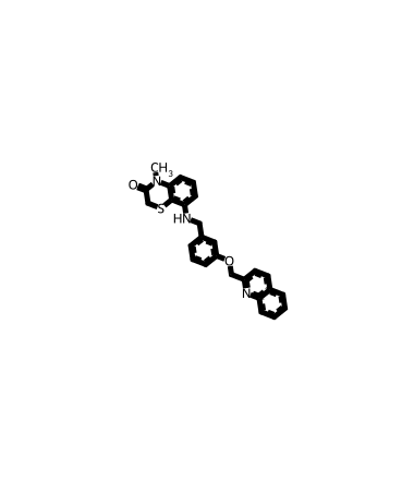 CN1C(=O)CSc2c(NCc3cccc(OCc4ccc5ccccc5n4)c3)cccc21